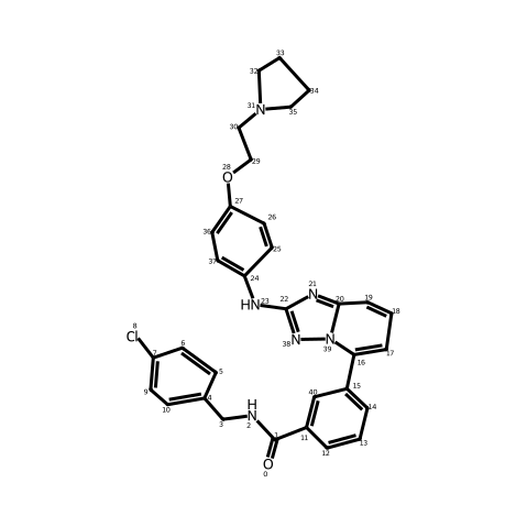 O=C(NCc1ccc(Cl)cc1)c1cccc(-c2cccc3nc(Nc4ccc(OCCN5CCCC5)cc4)nn23)c1